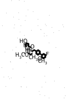 CCOC(=O)[C@@H](C)C[C@@H](Cc1ccc(-c2cc(F)ccc2OC)cc1)NC(=O)c1cc(O)no1